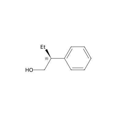 CC[C@H](CO)c1ccccc1